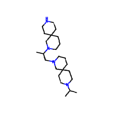 CC(C)N1CCC2(CCCN(CC(C)N3CCCC4(CCNCC4)C3)C2)CC1